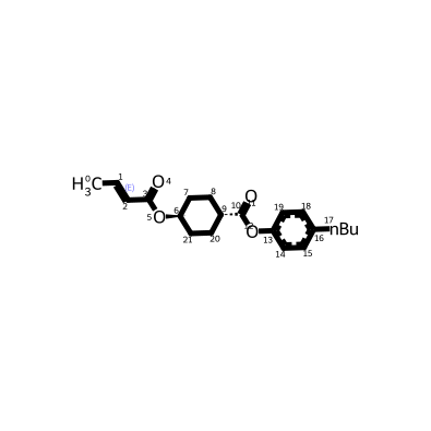 C/C=C/C(=O)O[C@H]1CC[C@H](C(=O)Oc2ccc(CCCC)cc2)CC1